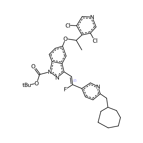 CC(Oc1ccc2c(c1)c(/C=C(\F)c1ccc(CC3CCCCCC3)nc1)nn2C(=O)OC(C)(C)C)c1c(Cl)cncc1Cl